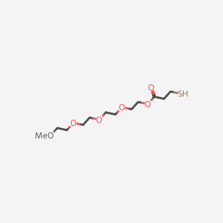 COCCOCCOCCOCCOC(=O)CCS